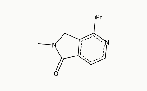 CC(C)c1nccc2c1CN(C)C2=O